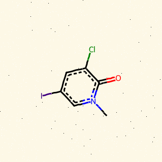 Cn1cc(I)cc(Cl)c1=O